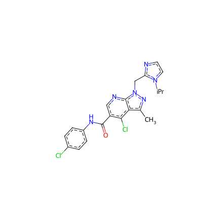 Cc1nn(Cc2nccn2C(C)C)c2ncc(C(=O)Nc3ccc(Cl)cc3)c(Cl)c12